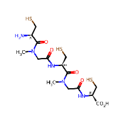 CN(CC(=O)N[C@@H](CS)C(=O)O)C(=O)[C@H](CS)NC(=O)CN(C)C(=O)[C@@H](N)CS